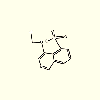 O=S(=O)(Cl)c1cccc2cncc(OCCl)c12